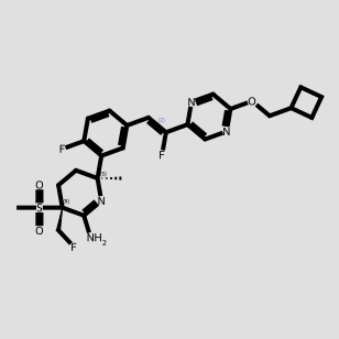 C[C@@]1(c2cc(/C=C(\F)c3cnc(OCC4CCC4)cn3)ccc2F)CC[C@@](CF)(S(C)(=O)=O)C(N)=N1